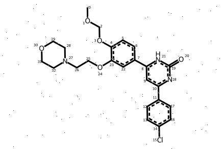 COCOc1ccc(-c2cc(-c3ccc(Cl)cc3)nc(=O)[nH]2)cc1OCCN1CCOCC1